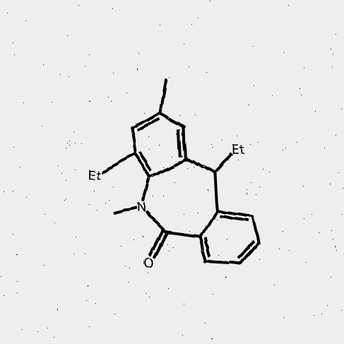 CCc1cc(C)cc2c1N(C)C(=O)c1ccccc1C2CC